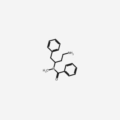 CN(C(=O)c1ccccc1)C(CCN)Cc1ccccc1